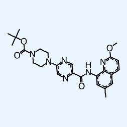 COc1ccc2cc(C)cc(NC(=O)c3cnc(N4CCN(C(=O)OC(C)(C)C)CC4)cn3)c2n1